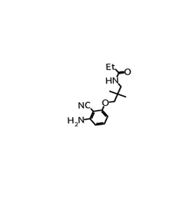 CCC(=O)NCC(C)(C)COc1cccc(N)c1C#N